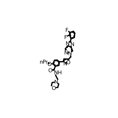 CCCOc1ccc(-c2cc(Cn3cc4nc(-c5cccc(F)c5F)nc-4cn3)on2)cc1C(=O)NCCN1CCOCC1